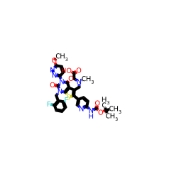 COc1ccc(-n2c(=O)c3c(CN(C)CC(=O)O)c(-c4ccc(NC(=O)OC(C)(C)C)nc4)sc3n(Cc3c(F)cccc3F)c2=O)nn1